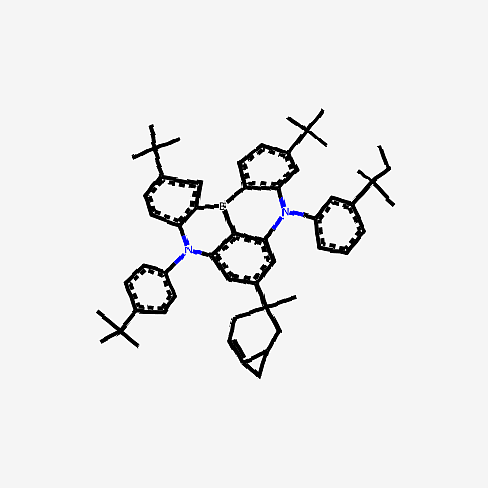 CCC(C)(C)c1cccc(N2c3cc(C(C)(C)C)ccc3B3c4cc(C(C)(C)C)ccc4N(c4ccc(C(C)(C)C)cc4)c4cc(C5(C)CC=C6CC6C5)cc2c43)c1